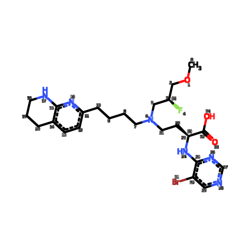 COC[C@@H](F)CN(CCCCc1ccc2c(n1)NCCC2)CC[C@H](Nc1ncncc1Br)C(=O)O